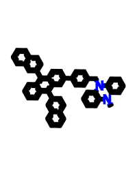 C=Nc1ccccc1N(Cc1ccc(-c2ccc3c(-c4ccc5ccccc5c4)c4ccccc4c(-c4ccc5ccccc5c4)c3c2)cc1)c1ccccc1